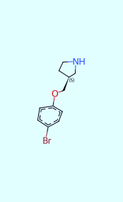 Brc1ccc(OC[C@H]2CCNC2)cc1